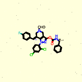 C[C@@H](NC(=O)Oc1nn(-c2ccc(Cl)cc2Cl)c2c1CN(C=O)C/C2=C\c1ccc(F)cc1)c1ccccc1